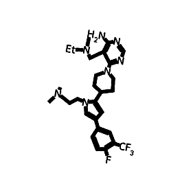 CCN(C)Cc1c(N)ncnc1N1CCC(c2cc(-c3ccc(F)c(C(F)(F)F)c3)cn2CCN(C)C)CC1